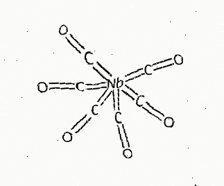 O=[C]=[Nb](=[C]=O)(=[C]=O)(=[C]=O)(=[C]=O)=[C]=O